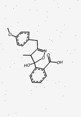 COc1ccc(CC2=NOC(O)(c3ccccc3C(=O)O)C2C)cc1